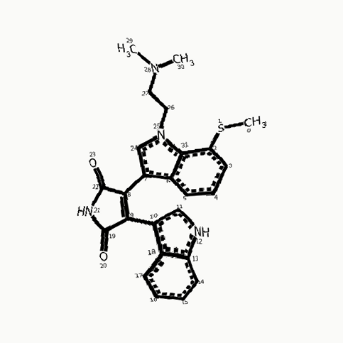 CSc1cccc2c(C3=C(c4c[nH]c5ccccc45)C(=O)NC3=O)cn(CCN(C)C)c12